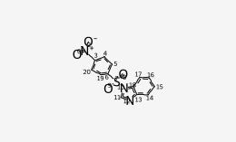 O=[N+]([O-])c1ccc(S(=O)(=O)n2cnc3ccccc32)cc1